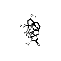 C[C@H]1CC(C)(C)N2C3C(C)(C)[C@@]4(CC(=O)N(C)C4=O)C[C@]34CC[C@]12C(=O)N4C